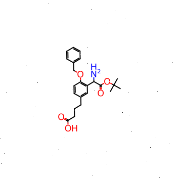 CC(C)(C)OC(=O)C(N)c1cc(CCCC(=O)O)ccc1OCc1ccccc1